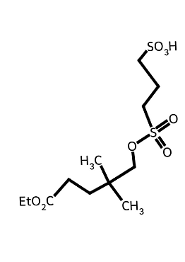 CCOC(=O)CCC(C)(C)COS(=O)(=O)CCCS(=O)(=O)O